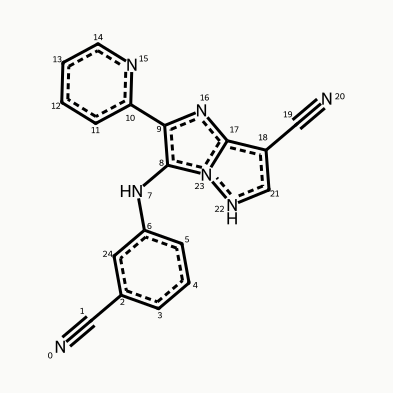 N#Cc1cccc(Nc2c(-c3ccccn3)nc3c(C#N)c[nH]n23)c1